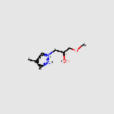 COCC(O)Cn1cc(C)cn1